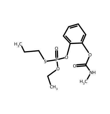 CCCSP(=O)(OCC)Oc1ccccc1OC(=O)NC